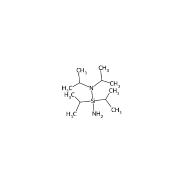 CC(C)N(C(C)C)[Si](N)(C(C)C)C(C)C